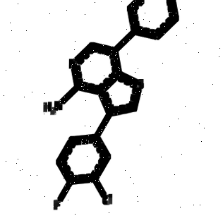 Nc1ncc(-c2cccnc2)c2scc(-c3ccc(F)c(Cl)c3)c12